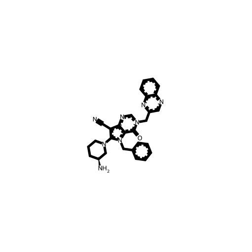 N#Cc1c(N2CCC[C@H](N)C2)n(Cc2ccccc2)c2c(=O)n(Cc3cnc4ccccc4n3)cnc12